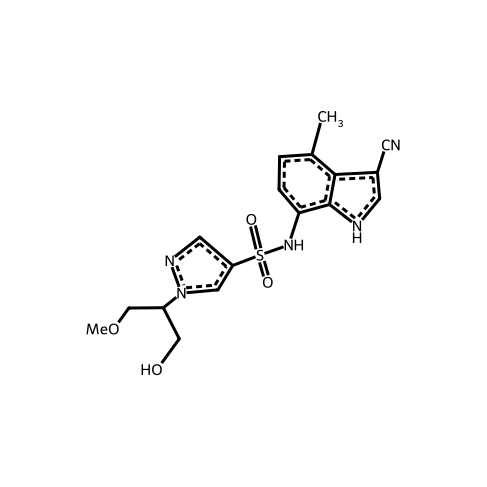 COCC(CO)n1cc(S(=O)(=O)Nc2ccc(C)c3c(C#N)c[nH]c23)cn1